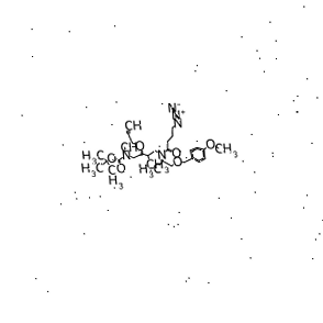 C#CCOC(CN(C)C(=O)OC(C)(C)C)C(C)CN(C(=O)CCCN=[N+]=[N-])C(C)COCc1ccc(OC)cc1